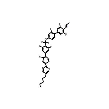 CCCCCc1cnc(-c2ccc(-c3cc(F)c(C(F)(F)Oc4ccc(-c5cc(F)c(/C=C/F)c(F)c5)c(F)c4)c(F)c3)c(F)c2)nc1